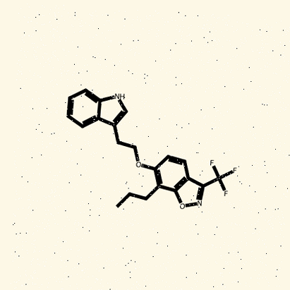 CCCc1c(OCCc2c[nH]c3ccccc23)ccc2c(C(F)(F)F)noc12